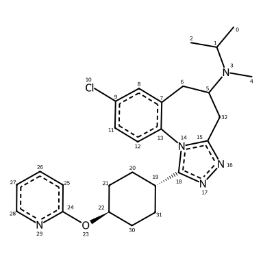 CC(C)N(C)C1Cc2cc(Cl)ccc2-n2c(nnc2[C@H]2CC[C@H](Oc3ccccn3)CC2)C1